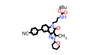 Cc1c2c(=O)n(CCCNC(=O)OC(C)(C)C)c3ccc(-c4ccc(C#N)cc4)cc3c2nn1C1CCCCO1